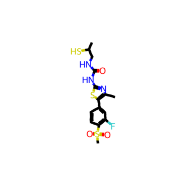 Cc1nc(NC(=O)NCC(C)S)sc1-c1ccc(S(C)(=O)=O)c(F)c1